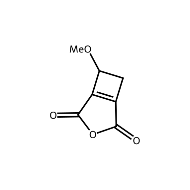 COC1CC2=C1C(=O)OC2=O